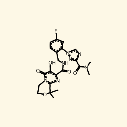 CN(C)C(=O)c1ncn(-c2cc(F)ccc2CNC(=O)c2nc3n(c(=O)c2O)CCOC3(C)C)n1